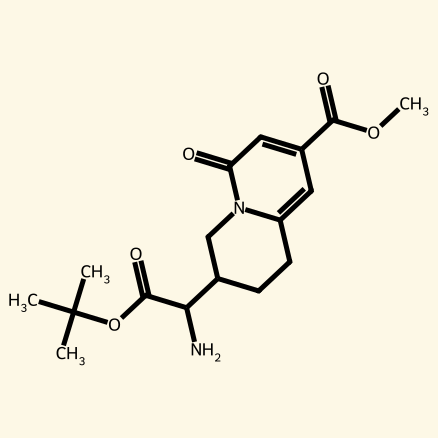 COC(=O)c1cc2n(c(=O)c1)CC(C(N)C(=O)OC(C)(C)C)CC2